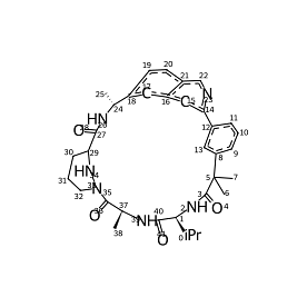 CC(C)[C@@H]1NC(=O)C(C)(C)c2cccc(c2)-c2cc3cc(ccc3cn2)[C@@H](C)NC(=O)C2CCCN(N2)C(=O)[C@H](C)NC1=O